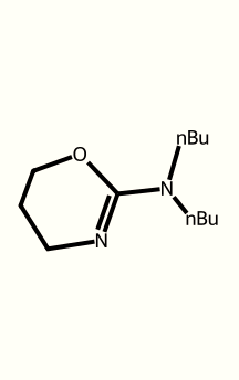 CCCCN(CCCC)C1=NCCCO1